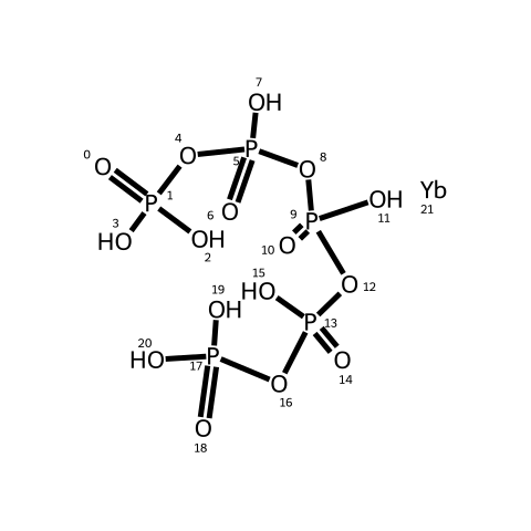 O=P(O)(O)OP(=O)(O)OP(=O)(O)OP(=O)(O)OP(=O)(O)O.[Yb]